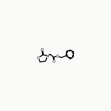 O=C(CN1CCOC1=O)OCc1ccccc1